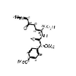 COc1ccc([C@H](OC)C(=O)N[C@@H](CCC(=O)C=[N+]=[N-])C(=O)O)cc1